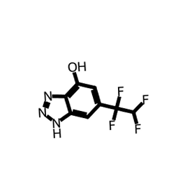 Oc1cc(C(F)(F)C(F)F)cc2[nH]nnc12